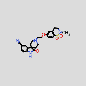 CN1CCc2cc(OCCN3CCC4(CC3)C(=O)Nc3ccc(C#N)cc34)ccc2S1(=O)=O